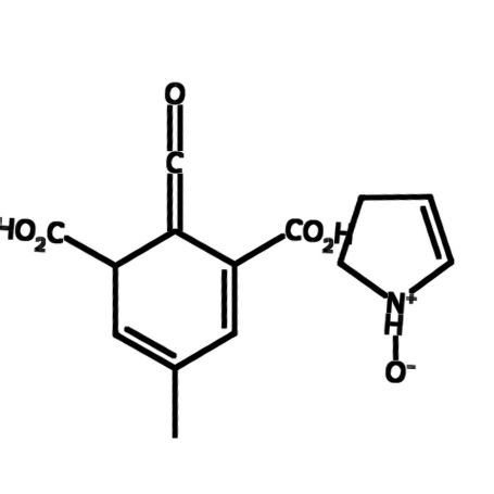 CC1=CC(C(=O)O)C(=C=O)C(C(=O)O)=C1.[O-][NH+]1C=CCC1